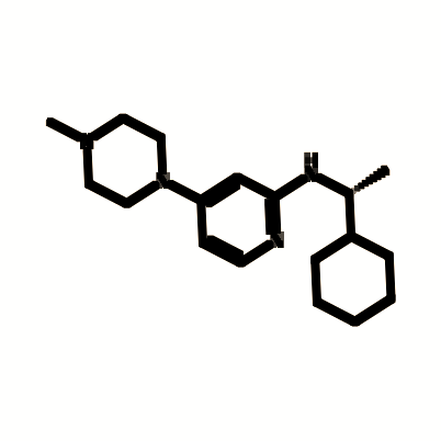 C[C@@H](Nc1cc(N2CCN(C)CC2)ccn1)C1CCCCC1